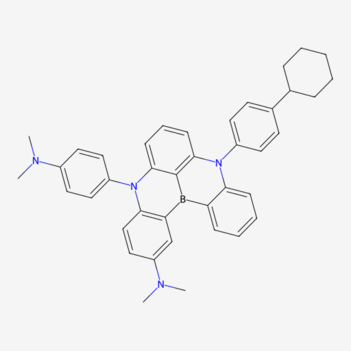 CN(C)c1ccc(N2c3ccc(N(C)C)cc3B3c4ccccc4N(c4ccc(C5CCCCC5)cc4)c4cccc2c43)cc1